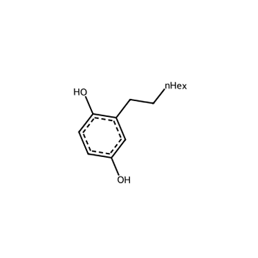 CCCCCCCCc1cc(O)ccc1O